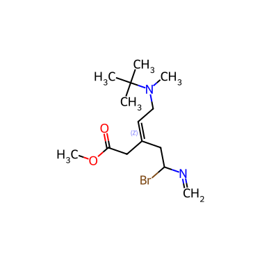 C=NC(Br)C/C(=C\CN(C)C(C)(C)C)CC(=O)OC